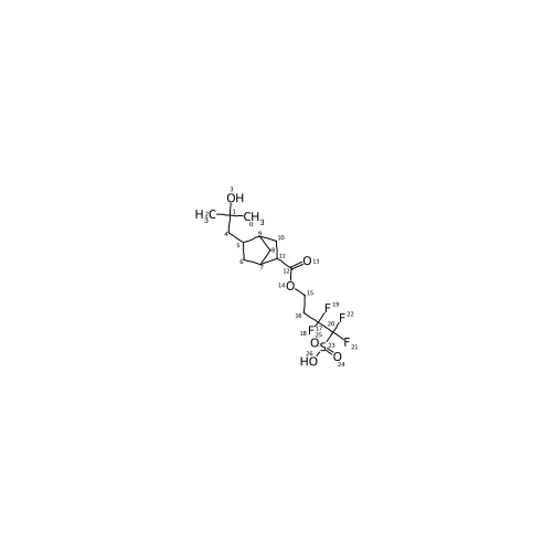 CC(C)(O)CC1CC2CC1CC2C(=O)OCCC(F)(F)C(F)(F)S(=O)(=O)O